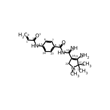 C=CC(=O)Nc1ccc(C(=O)NC(=N)C2=C(N)C(C)(C)N(C)C2)cc1